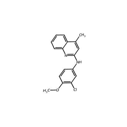 COc1ccc(Nc2cc(C)c3ccccc3n2)cc1Cl